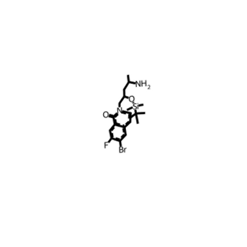 CC(N)CC(Cn1ccc2cc(Br)c(F)cc2c1=O)O[Si](C)(C)C(C)(C)C